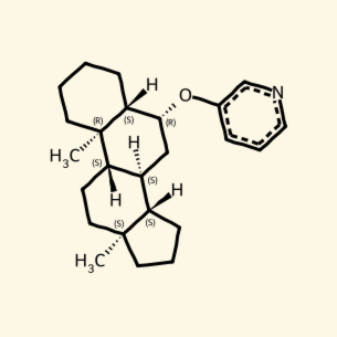 C[C@@]12CCC[C@H]1[C@@H]1C[C@@H](Oc3cccnc3)[C@H]3CCCC[C@]3(C)[C@H]1CC2